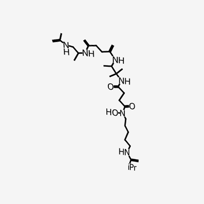 C=C(C)NCC(C)NC(=C)CCC(=C)NC(C)C(C)(C)NC(=O)CCC(=O)N(O)CCCCCNC(=C)C(C)C